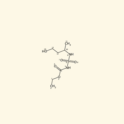 CCOC(=O)NS(=O)(=O)NC(C)CCO